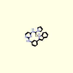 CCC(Nc1ccnc(Nc2cccc(-c3cc4ccccc4[nH]3)c2)n1)N1CC=CC1